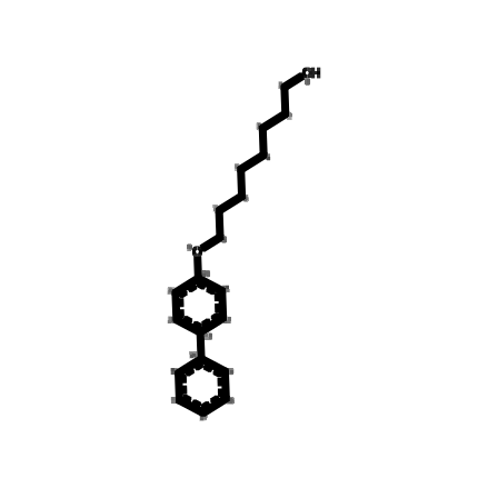 OCCCCCCCCOc1ccc(-c2ccccc2)cc1